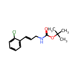 CC(C)(C)OC(=O)NC/C=C/c1ccccc1Cl